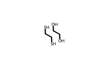 OCCO.SCCS